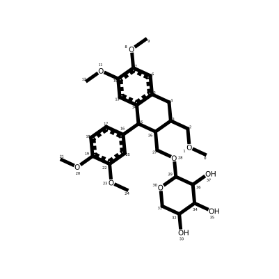 COCC1Cc2cc(OC)c(OC)cc2C(c2ccc(OC)c(OC)c2)C1COC1OCC(O)C(O)C1O